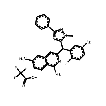 CCc1ccc(F)c(C(c2cc3cc(N)ccc3c(N)n2)c2nc(-c3ccccc3)nn2C)c1.O=C(O)C(F)(F)F